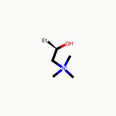 CC[C@@H](O)C[N+](C)(C)C